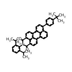 CC(C)c1cccc(C(C)C)c1N1C(=O)c2ccc3c4cccc5c(-c6ccc(C(C)(C)C)cc6)ccc(c6ccc(c2c36)C1=O)c54